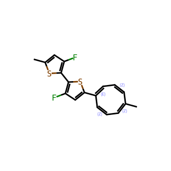 CC1=C/C=C\C(c2cc(F)c(-c3sc(C)cc3F)s2)=C/C=C\1